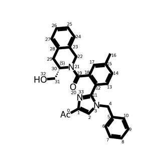 CC(=O)c1cn(Cc2ccccc2)c(-c2ccc(C)cc2C(=O)N2Cc3ccccc3C[C@H]2CO)n1